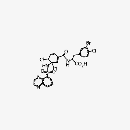 O=C(N[C@@H](Cc1ccc(Cl)c(Br)c1)C(=O)O)C1=CC(Cl)(NS(=O)(=O)c2cccc3nccnc23)C(Cl)C=C1